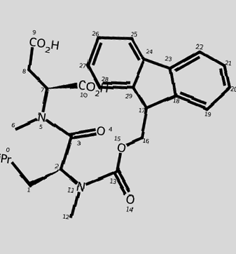 CC(C)C[C@@H](C(=O)N(C)[C@@H](CC(=O)O)C(=O)O)N(C)C(=O)OCC1c2ccccc2-c2ccccc21